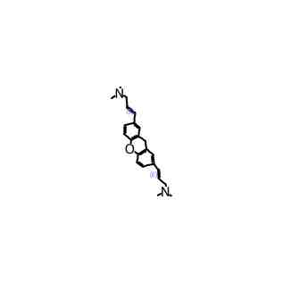 CN(C)C/C=C/c1ccc2c(c1)Cc1cc(/C=C/CN(C)C)ccc1O2